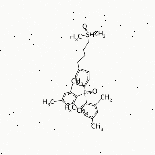 Cc1cc(C)c(P(=O)(c2ccc(CCCC[SH](C)(C)=O)cc2)c2c(C)cc(C)cc2C)c(C)c1